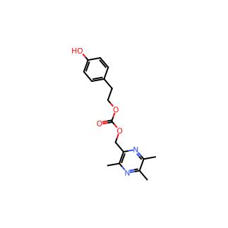 Cc1nc(C)c(COC(=O)OCCc2ccc(O)cc2)nc1C